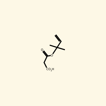 C=CC(C)(C)OC(=O)CC(=O)O